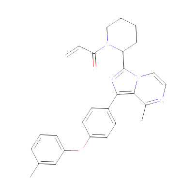 C=CC(=O)N1CCCCC1c1nc(-c2ccc(Oc3cccc(C)c3)cc2)c2c(C)nccn12